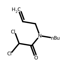 C=CCN(CCCC)C(=O)C(Cl)Cl